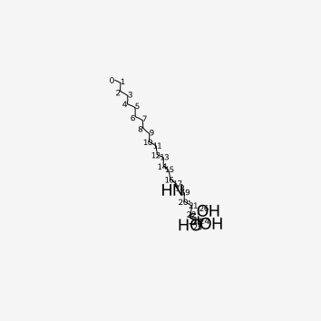 CCCCCCCCCCCCCCCCCCNC[CH]CC[Si](O)(O)O